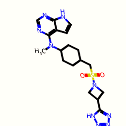 CN(c1ncnc2[nH]ccc12)C1CCC(CS(=O)(=O)N2CC(c3nnn[nH]3)C2)CC1